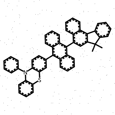 CC1(C)c2ccccc2-c2c1cc(-c1c3ccccc3c(-c3ccc4c(c3)Sc3ccccc3N4c3ccccc3)c3ccccc13)c1ccccc21